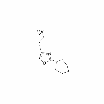 NCCc1coc(C2CCCCC2)n1